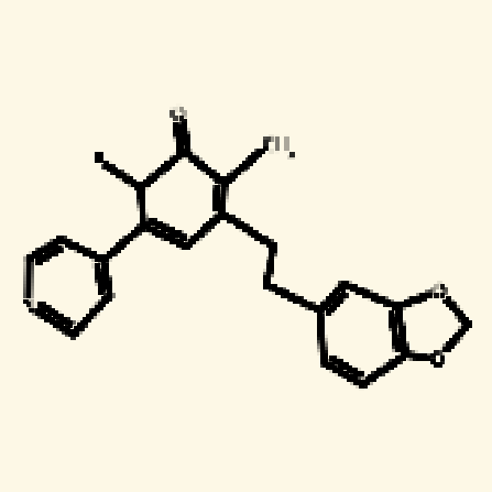 [CH2]C1=C(CCc2ccc3c(c2)OCO3)C=C(c2ccncc2)C(F)C1=O